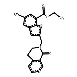 Cc1cc(C(=O)OCC(F)(F)F)c2oc(CN3CCc4ccncc4C3=O)cc2c1